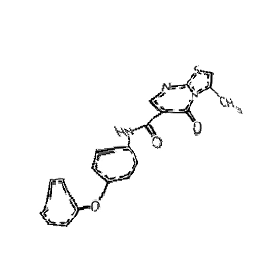 Cc1csc2ncc(C(=O)Nc3ccc(Oc4ccccc4)cc3)c(=O)n12